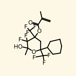 C=C(C)C(=O)OC1(C(F)(F)F)CC(C2CCCCC2)(C(F)(F)F)OC(C)(O)C1(F)F